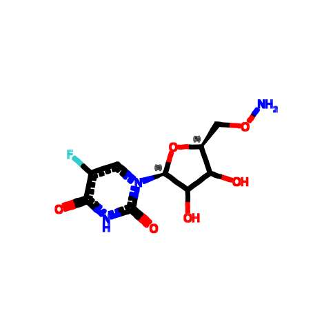 NOC[C@@H]1O[C@H](n2cc(F)c(=O)[nH]c2=O)C(O)C1O